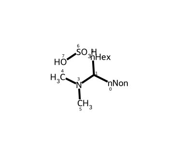 CCCCCCCCCC(CCCCCC)N(C)C.O=S(=O)(O)O